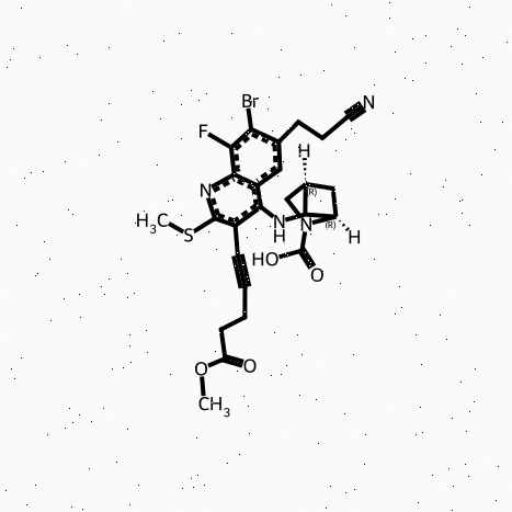 COC(=O)CCC#Cc1c(SC)nc2c(F)c(Br)c(CCC#N)cc2c1NC1[C@@H]2C[C@H]1N(C(=O)O)C2